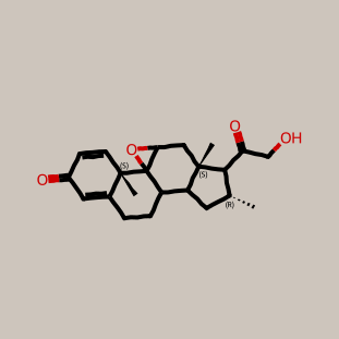 C[C@@H]1CC2C3CCC4=CC(=O)C=C[C@]4(C)C34OC4C[C@]2(C)C1C(=O)CO